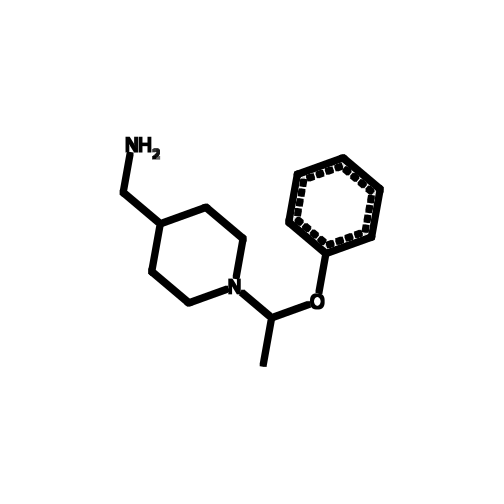 CC(Oc1ccccc1)N1CCC(CN)CC1